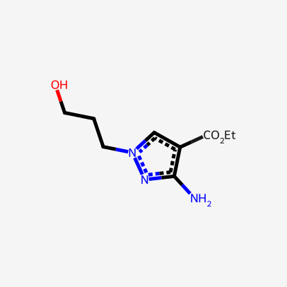 CCOC(=O)c1cn(CCCO)nc1N